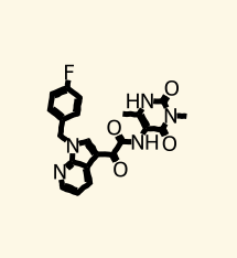 Cc1[nH]c(=O)n(C)c(=O)c1NC(=O)C(=O)c1cn(Cc2ccc(F)cc2)c2ncccc12